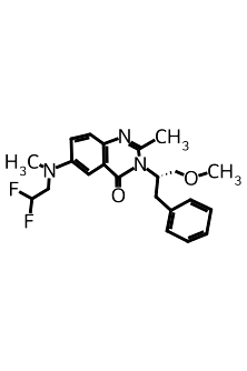 COC[C@H](Cc1ccccc1)n1c(C)nc2ccc(N(C)CC(F)F)cc2c1=O